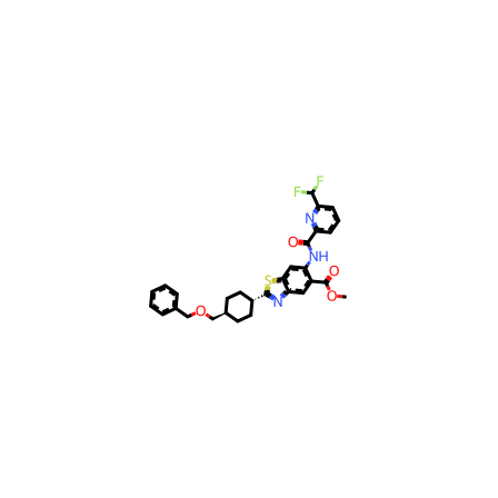 COC(=O)c1cc2nc([C@H]3CC[C@H](COCc4ccccc4)CC3)sc2cc1NC(=O)c1cccc(C(F)F)n1